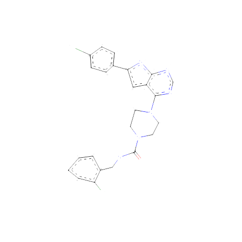 O=C(NCc1ccccc1Cl)N1CCN(c2ncnc3[nH]c(-c4ccc(F)cc4)cc23)CC1